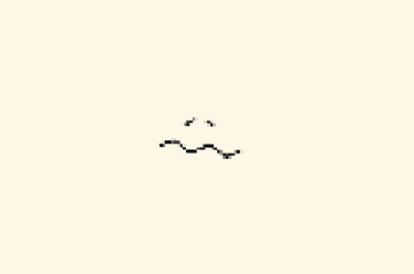 CCCCCCCCOCCCCCCCC.O=C(O)CCCCC(=O)O